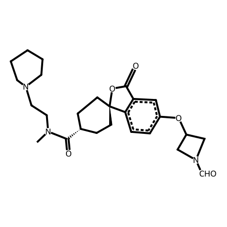 CN(CCN1CCCCC1)C(=O)[C@H]1CC[C@@]2(CC1)OC(=O)c1cc(OC3CN(C=O)C3)ccc12